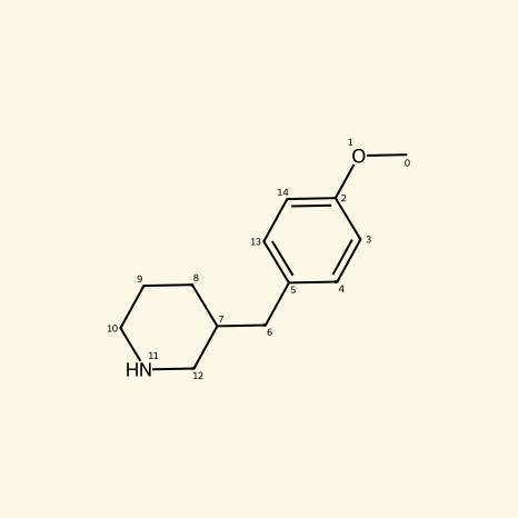 COc1ccc(CC2CCCNC2)cc1